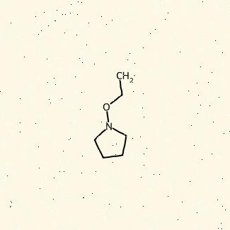 [CH2]CON1CCCC1